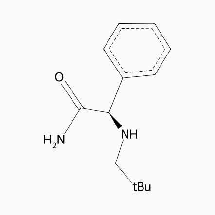 CC(C)(C)CN[C@@H](C(N)=O)c1ccccc1